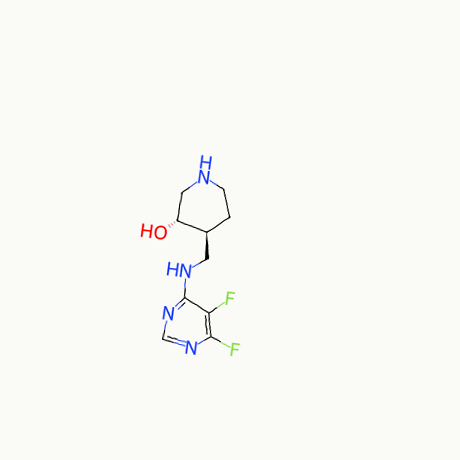 O[C@@H]1CNCC[C@H]1CNc1ncnc(F)c1F